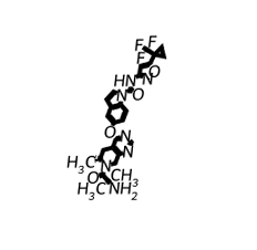 C[C@H]1Cc2c(ncnc2Oc2ccc3c(ccn3C(=O)Nc3cc(C4(C(F)(F)F)CC4)on3)c2)CN1C(=O)C(C)(C)N